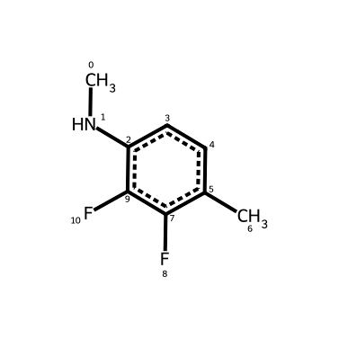 CNc1ccc(C)c(F)c1F